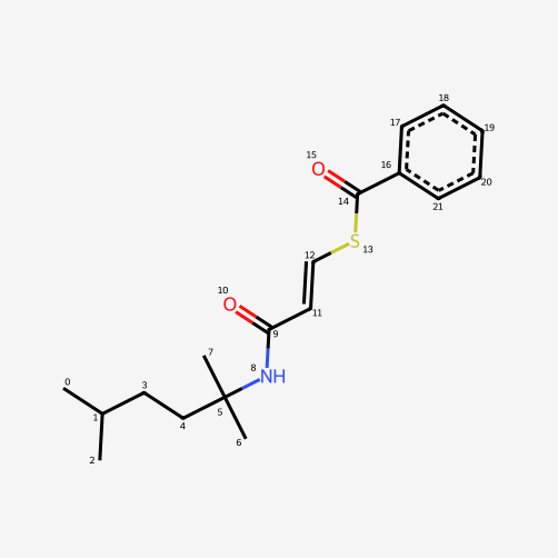 CC(C)CCC(C)(C)NC(=O)C=CSC(=O)c1ccccc1